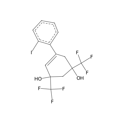 OC1(C(F)(F)F)C=C(c2ccccc2I)CC(O)(C(F)(F)F)C1